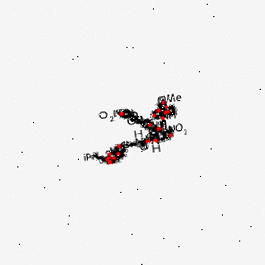 COc1ccc(C(NCCCC[C@H](NC(=O)[C@H](Cc2ccc([N+](=O)[O-])cc2)NC(=O)CCC(=O)NCCCO[C@H]2CC[C@@]3(C)C(=CC[C@H]4[C@@H]5CC[C@H]([C@H](C)CCCC(C)C)[C@@]5(C)CC[C@@H]43)C2)C(=O)Nc2ccc(COC(=O)Oc3ccc([N+](=O)[O-])cc3)cc2)(c2ccccc2)c2ccccc2)cc1